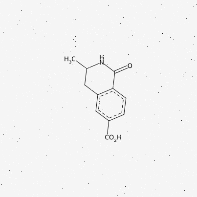 CC1Cc2cc(C(=O)O)ccc2C(=O)N1